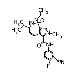 CCN=S1(=O)NC(C(C)C)C=Cc2c1cn(C)c2C(=O)Nc1ccc(F)c(C#N)c1